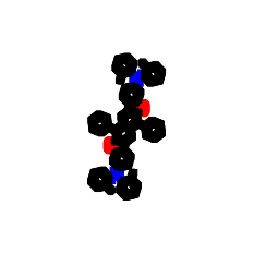 Cc1ccccc1N(c1ccc2c(c1)oc1c(-c3ccccc3)c3cc4c(oc5cc(N(c6ccccc6C)c6ccccc6C)ccc54)c(-c4ccccc4)c3cc12)c1ccccc1C